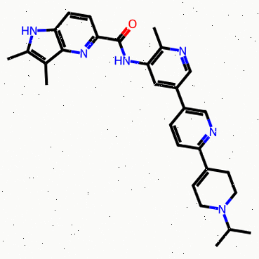 Cc1ncc(-c2ccc(C3=CCN(C(C)C)CC3)nc2)cc1NC(=O)c1ccc2[nH]c(C)c(C)c2n1